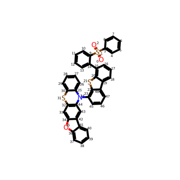 O=S(=O)(c1ccccc1)c1ccccc1-c1cccc2c1sc1c(N3c4ccccc4Sc4cc5oc6ccccc6c5cc43)cccc12